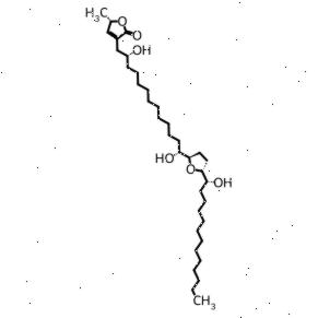 CCCCCCCCCCCC[C@@H](O)[C@H]1CC[C@H]([C@H](O)CCCCCCCCCC[C@@H](O)CC2=C[C@H](C)OC2=O)O1